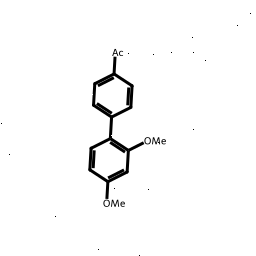 COc1ccc(-c2ccc(C(C)=O)cc2)c(OC)c1